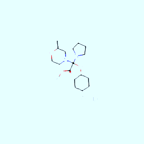 CCOC(=O)[C@H]1CC[C@H](OC(C(=O)OC(C)(C)C)(N2CCCC2)N2CC(C)O[C@@H](C)C2)CC1